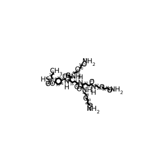 CCCCP(=O)(S)O[C@H]1CC[C@@H](C(=O)NC(CCC(=O)NC(CCC(=O)NCCOCCON)C(=O)NCCOCCON)C(=O)NCCOCCON)CC1